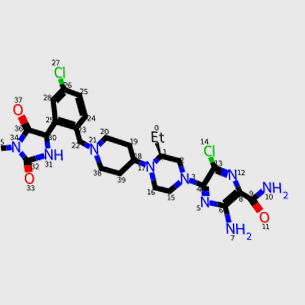 CC[C@H]1CN(c2nc(N)c(C(N)=O)nc2Cl)CCN1C1CCN(Cc2ccc(Cl)cc2C2NC(=O)N(C)C2=O)CC1